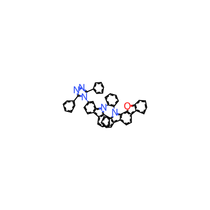 c1ccc(-c2nnc(-c3ccccc3)n2-c2ccc3c4ccccc4n(-c4ccccc4-n4c5ccccc5c5ccc6c7ccccc7oc6c54)c3c2)cc1